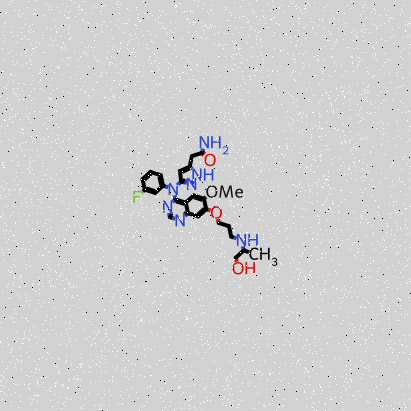 COc1cc2c(N(c3cccc(F)c3)c3cc(CC(N)=O)[nH]n3)ncnc2cc1OCCCNC(C)CO